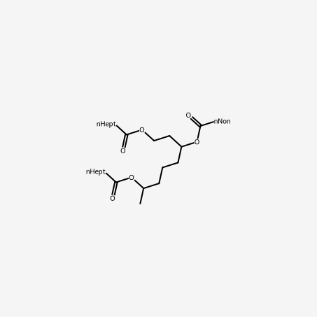 CCCCCCCCCC(=O)OC(CCCC(C)OC(=O)CCCCCCC)CCOC(=O)CCCCCCC